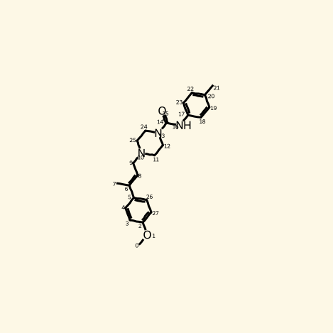 COc1ccc(/C(C)=C/CN2CCN(C(=O)Nc3ccc(C)cc3)CC2)cc1